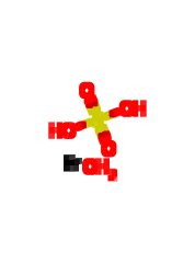 O.O=S(=O)(O)O.[Er]